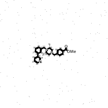 COC(=O)c1ccc(CN2C[C@@H](C)N(Cc3cccc(-c4cccnc4)c3)[C@@H](C)C2)cc1